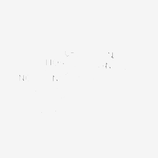 N#Cc1cn(CC(O)(c2ccc3c(cnn3-c3ccccc3)c2)C(F)(F)F)c2ccccc12